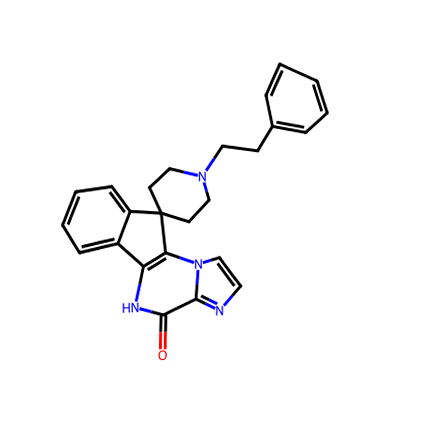 O=c1[nH]c2c(n3ccnc13)C1(CCN(CCc3ccccc3)CC1)c1ccccc1-2